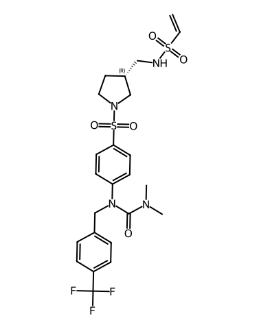 C=CS(=O)(=O)NC[C@H]1CCN(S(=O)(=O)c2ccc(N(Cc3ccc(C(F)(F)F)cc3)C(=O)N(C)C)cc2)C1